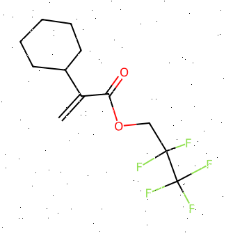 C=C(C(=O)OCC(F)(F)C(F)(F)F)C1CCCCC1